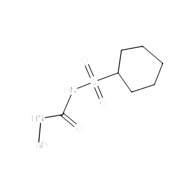 CCCNC(=O)NS(=O)(=O)C1CCCCC1